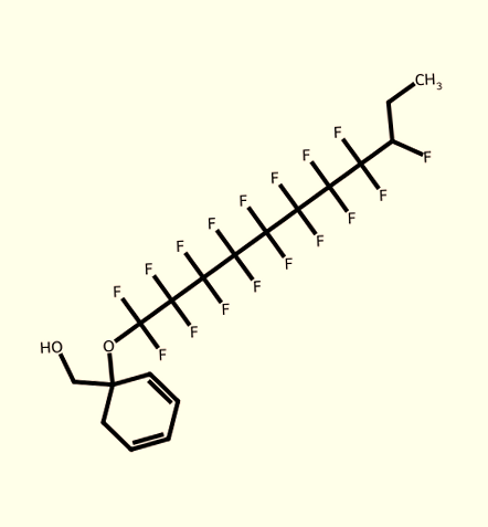 CCC(F)C(F)(F)C(F)(F)C(F)(F)C(F)(F)C(F)(F)C(F)(F)C(F)(F)C(F)(F)OC1(CO)C=CC=CC1